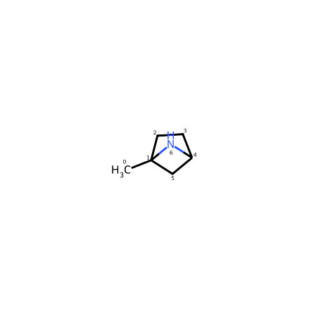 CC12CCC(C1)N2